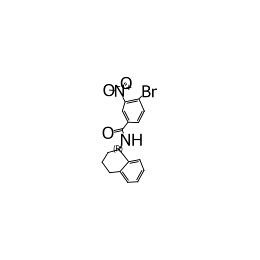 O=C(N[C@@H]1CCCc2ccccc21)c1ccc(Br)c([N+](=O)[O-])c1